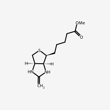 C=C1N[C@H]2[C@H](CS[C@H]2CCCCC(=O)OC)N1